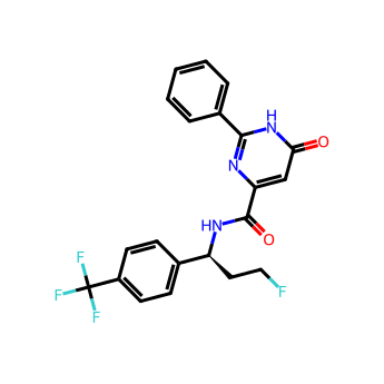 O=C(N[C@@H](CCF)c1ccc(C(F)(F)F)cc1)c1cc(=O)[nH]c(-c2ccccc2)n1